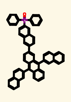 O=P(c1ccccc1)(c1ccccc1)c1ccc2cc(-c3ccc4c(-c5ccc6ccccc6c5)c5ccccc5c(-c5ccc6ccccc6c5)c4c3)ccc2c1